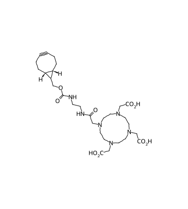 O=C(O)CN1CCN(CC(=O)O)CCN(CC(=O)NCCNC(=O)OCC2[C@H]3CCC#CCC[C@@H]23)CCN(CC(=O)O)CC1